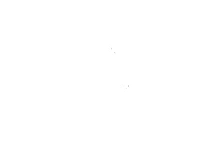 C=C(c1ccc(N2CCCC2)cc1)c1ccc(OC)cc1OC